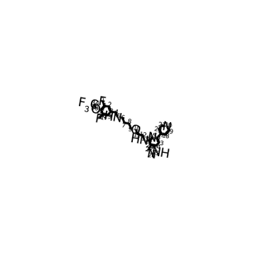 Fc1cc(CNCCCCOCCNc2nc(-c3ccncc3)cc3[nH]ncc23)cc(F)c1OC(F)(F)F